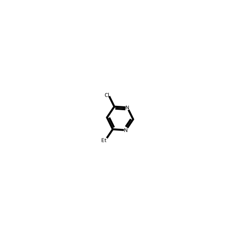 [CH2]Cc1cc(Cl)ncn1